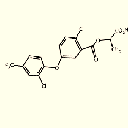 CC(OC(=O)c1cc(Oc2ccc(C(F)(F)F)cc2Cl)ccc1Cl)C(=O)O